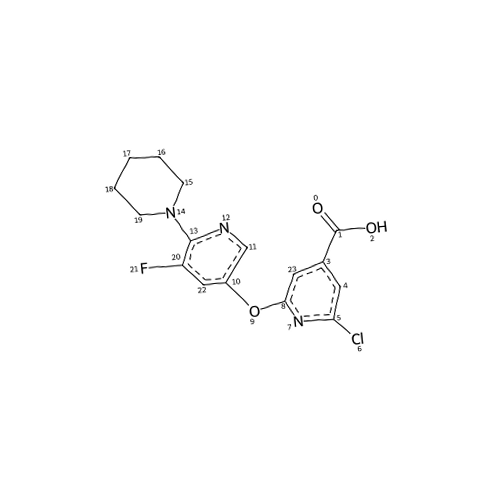 O=C(O)c1cc(Cl)nc(Oc2cnc(N3CCCCC3)c(F)c2)c1